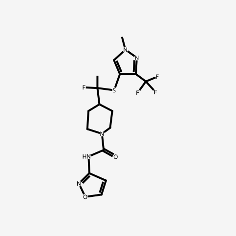 Cn1cc(SC(C)(F)C2CCN(C(=O)Nc3ccon3)CC2)c(C(F)(F)F)n1